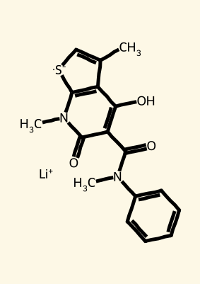 CC1=C[S-]c2c1c(O)c(C(=O)N(C)c1ccccc1)c(=O)n2C.[Li+]